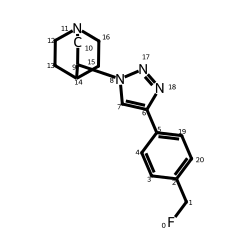 FCc1ccc(-c2cn(C3CN4CCC3CC4)nn2)cc1